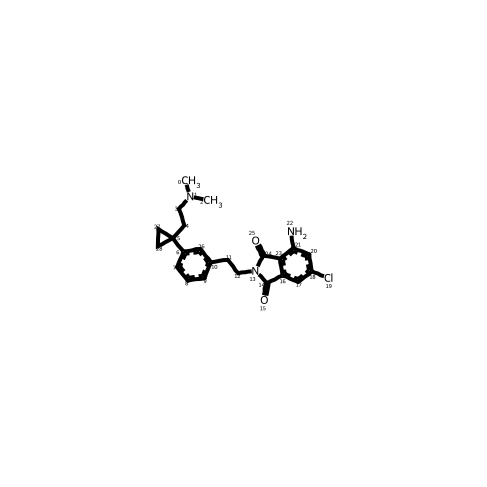 CN(C)CCC1(c2cccc(CCN3C(=O)c4cc(Cl)cc(N)c4C3=O)c2)CC1